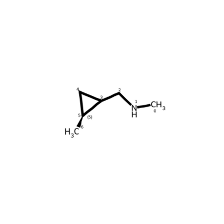 CNCC1C[C@@H]1C